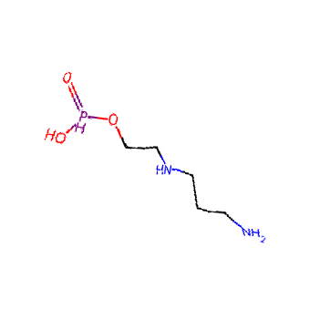 NCCCNCCO[PH](=O)O